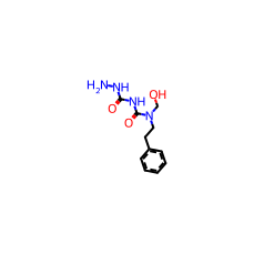 NNC(=O)NC(=O)N(CO)CCc1ccccc1